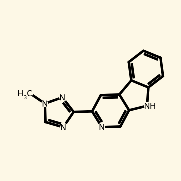 Cn1cnc(-c2cc3c(cn2)[nH]c2ccccc23)n1